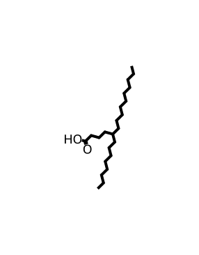 CCCCCCCCCCC(CCCCCCCC)CCCC(=O)O